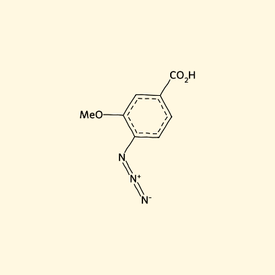 COc1cc(C(=O)O)ccc1N=[N+]=[N-]